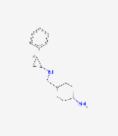 NC1CCC(CNC2C[C@@H]2c2ccccc2)CC1